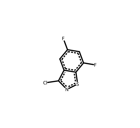 Fc1cc(F)c2snc(Cl)c2c1